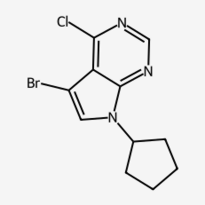 Clc1ncnc2c1c(Br)cn2C1CCCC1